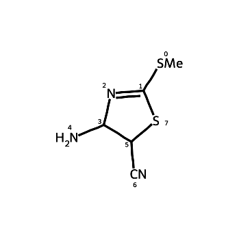 CSC1=NC(N)C(C#N)S1